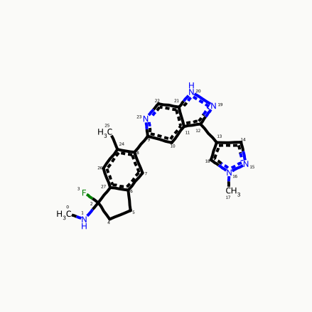 CNC1(F)CCc2cc(-c3cc4c(-c5cnn(C)c5)n[nH]c4cn3)c(C)cc21